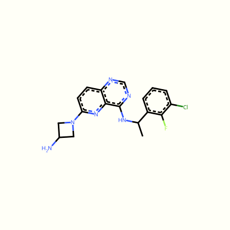 CC(Nc1ncnc2ccc(N3CC(N)C3)nc12)c1cccc(Cl)c1F